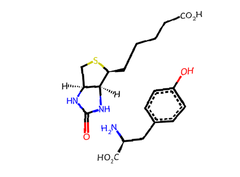 N[C@@H](Cc1ccc(O)cc1)C(=O)O.O=C(O)CCCC[C@@H]1SC[C@@H]2NC(=O)N[C@@H]21